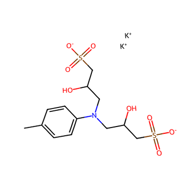 Cc1ccc(N(CC(O)CS(=O)(=O)[O-])CC(O)CS(=O)(=O)[O-])cc1.[K+].[K+]